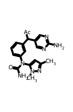 CC(=O)C(c1cnc(N)nc1)c1cccc(N(C(N)=O)c2cc(C)nn2C)c1